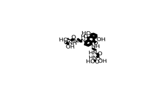 O=C(O)N[C@@H](CO)C(=O)NCCNc1ccc(NCCNC(=O)[C@H](CO)NC(=O)O)c2c1C(=O)c1c(O)ccc(O)c1C2=O